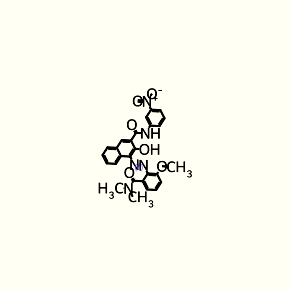 COc1cccc(C(=O)N(C)C)c1/N=N/c1c(O)c(C(=O)Nc2cccc([N+](=O)[O-])c2)cc2ccccc12